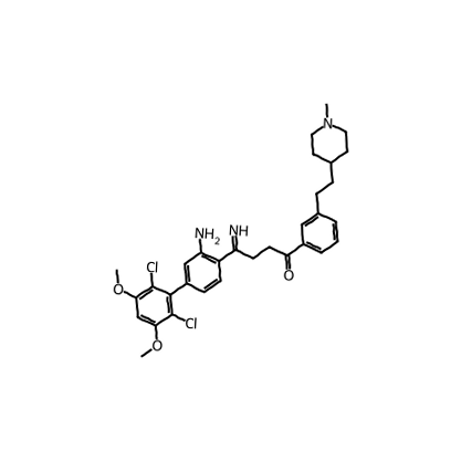 COc1cc(OC)c(Cl)c(-c2ccc(C(=N)CCC(=O)c3cccc(CCC4CCN(C)CC4)c3)c(N)c2)c1Cl